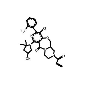 C=CC(=O)N1CCN2C(=O)c3c(N4CC(O)CC4(C)C)nc(-c4ccccc4C(F)(F)F)c(Cl)c3OCC2C1